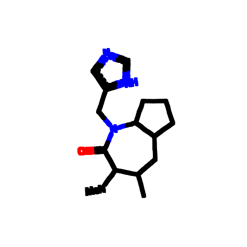 CNC1C(=O)N(Cc2cnc[nH]2)C2CCCC2CC1C